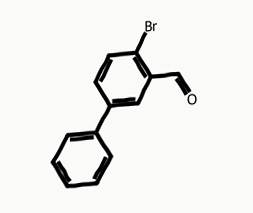 O=Cc1cc(-c2ccccc2)ccc1Br